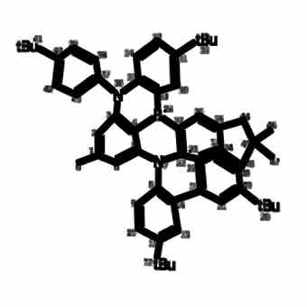 Cc1cc2c3c(c1)N(c1ccc(C(C)(C)C)cc1-c1cccc(C(C)(C)C)c1)c1cc4c(cc1B3c1cc(C(C)(C)C)ccc1N2c1ccc(C(C)(C)C)cc1)CC(C)(C)C4